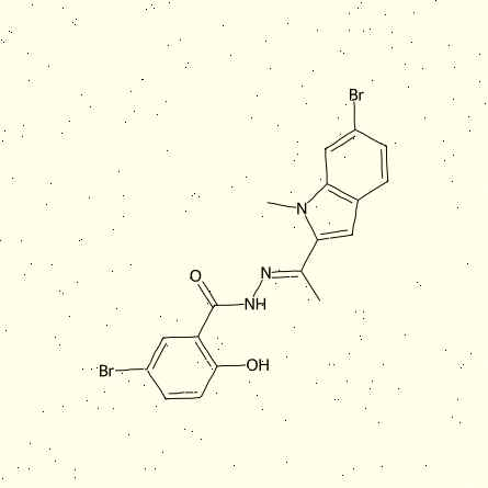 C/C(=N\NC(=O)c1cc(Br)ccc1O)c1cc2ccc(Br)cc2n1C